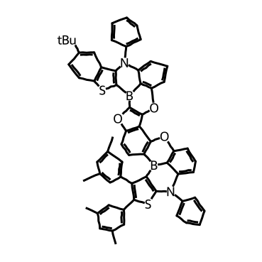 Cc1cc(C)cc(-c2sc3c(c2-c2cc(C)cc(C)c2)B2c4ccc5oc6c(c5c4Oc4cccc(c42)N3c2ccccc2)Oc2cccc3c2B6c2sc4ccc(C(C)(C)C)cc4c2N3c2ccccc2)c1